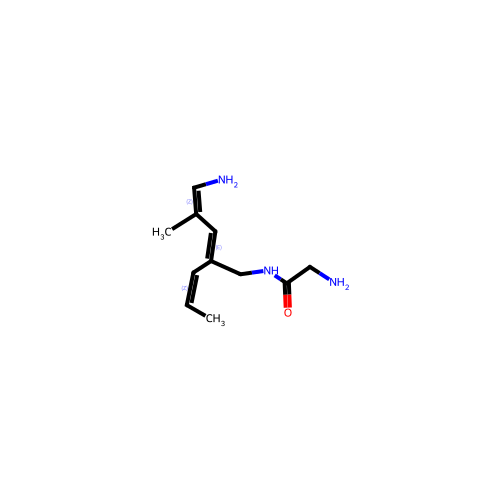 C\C=C/C(=C\C(C)=C/N)CNC(=O)CN